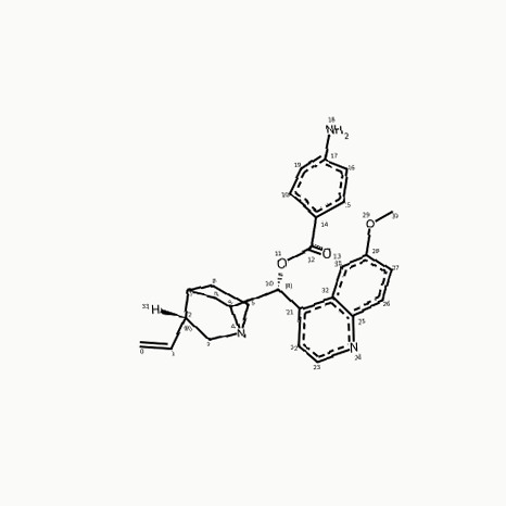 C=C[C@H]1CN2CCC1CC2[C@H](OC(=O)c1ccc(N)cc1)c1ccnc2ccc(OC)cc12